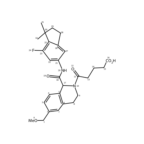 COCc1ccc2c(c1)CCN(C(=O)CCCC(=O)O)C2C(=O)Nc1cc(F)c2c(c1)CCC2(C)C